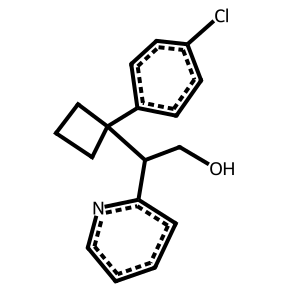 OCC(c1ccccn1)C1(c2ccc(Cl)cc2)CCC1